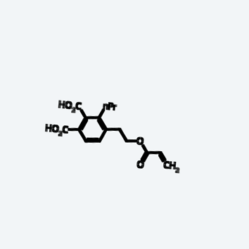 C=CC(=O)OCCc1ccc(C(=O)O)c(C(=O)O)c1CCC